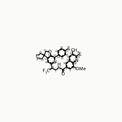 COc1cc(C(=O)NCC(c2cc3c(c(-c4ccc(F)cc4)n2)OCC3(CF)CF)C(F)(F)F)cc2cc(C)c(F)nc12